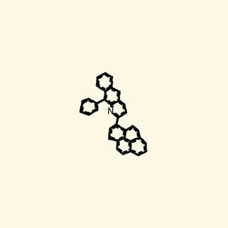 c1ccc(-c2c3ccccc3cc3ccc(-c4ccc5ccc6cccc7ccc4c5c67)nc23)cc1